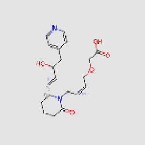 O=C(O)COC/C=C\CN1C(=O)CCC[C@@H]1/C=C/C(O)Cc1ccncc1